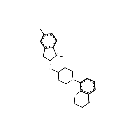 O[C@@H]1c2ccc(F)cc2C[C@H]1NC1CCN(c2cccc3c2OCCC3)CC1